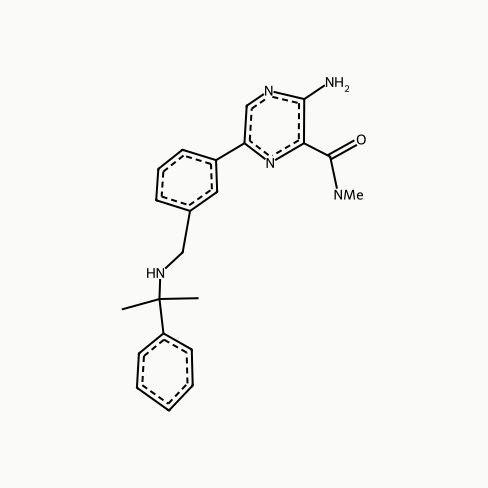 CNC(=O)c1nc(-c2cccc(CNC(C)(C)c3ccccc3)c2)cnc1N